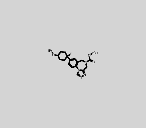 CC(C)OC1CCC(F)(c2ccc3c(c2)CN(C(=O)OC(C)(C)C)Cc2nncn2-3)CC1